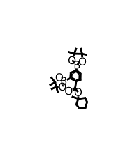 CC1(OC(=O)c2ccc(B3OC(C)(C)C(C)(C)O3)cc2B2OC(C)(C)C(C)(C)O2)CCCCC1